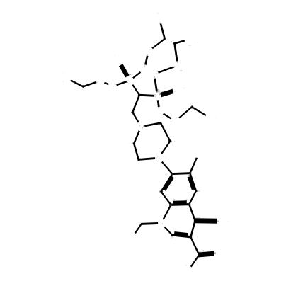 CCOOP(=O)(OOCC)C(CN1CCN(c2cc3c(cc2F)c(=O)c(C(=O)O)cn3CC)CC1)P(=O)(OOCC)OOCC